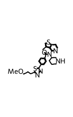 COCCCc1nnc(-c2ccc(C(=O)N(c3nccc4scc(C)c34)[C@@H]3CCCNC3)cc2)s1